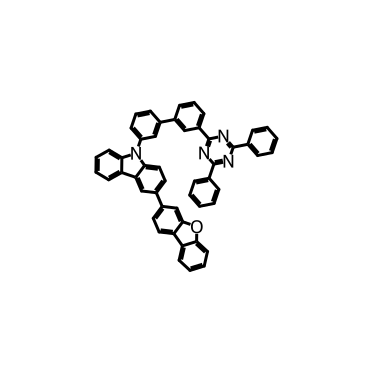 c1ccc(-c2nc(-c3ccccc3)nc(-c3cccc(-c4cccc(-n5c6ccccc6c6cc(-c7ccc8c(c7)oc7ccccc78)ccc65)c4)c3)n2)cc1